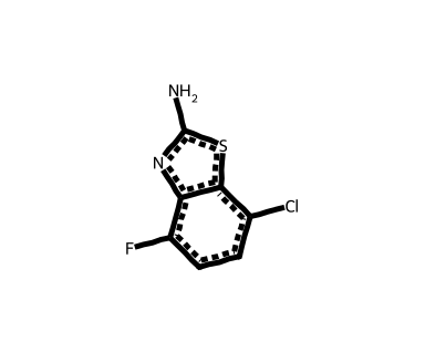 Nc1nc2c(F)ccc(Cl)c2s1